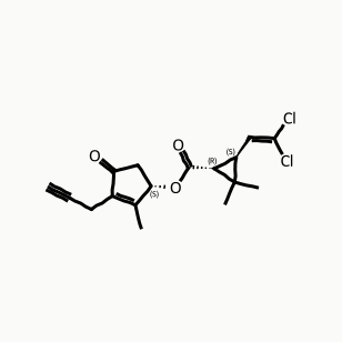 C#CCC1=C(C)[C@@H](OC(=O)[C@@H]2[C@@H](C=C(Cl)Cl)C2(C)C)CC1=O